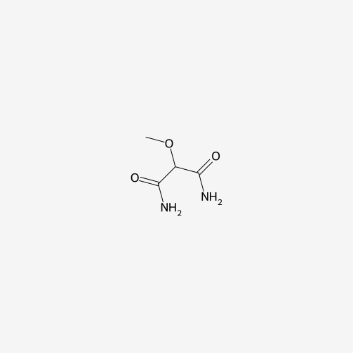 COC(C(N)=O)C(N)=O